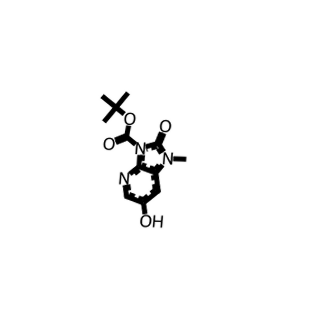 Cn1c(=O)n(C(=O)OC(C)(C)C)c2ncc(O)cc21